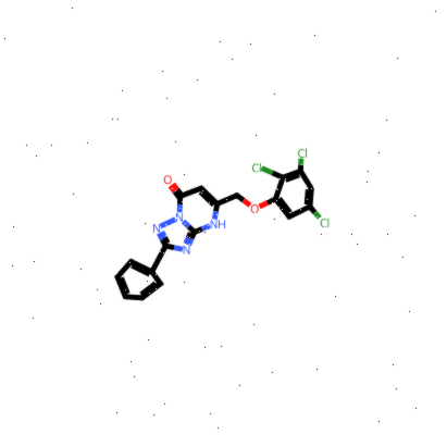 O=c1cc(COc2cc(Cl)cc(Cl)c2Cl)[nH]c2nc(-c3ccccc3)nn12